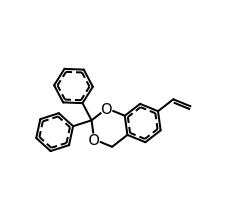 C=Cc1ccc2c(c1)OC(c1ccccc1)(c1ccccc1)OC2